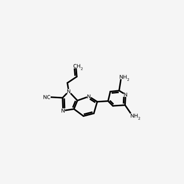 C=CCn1c(C#N)nc2ccc(-c3cc(N)nc(N)c3)nc21